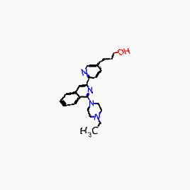 CCN1CCN(c2nc(-c3ccc(CCCO)cn3)cc3ccccc23)CC1